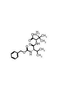 CC(C)[C@H](NC(=O)OCc1ccccc1)C(=O)N[C@@H](C(=O)O)C(C)(C)C